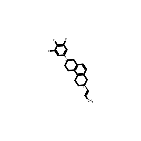 CC=C[C@H]1CCc2c(ccc3c2CC[C@H](c2cc(F)c(F)c(F)c2)C3)C1